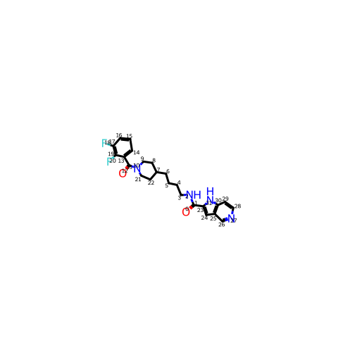 O=C(NCCCCC1CCN(C(=O)c2cccc(F)c2F)CC1)c1cc2cnccc2[nH]1